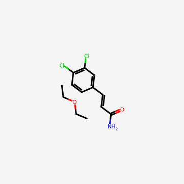 CCOCC.NC(=O)C=Cc1ccc(Cl)c(Cl)c1